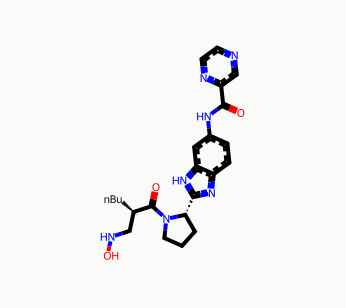 CCCC[C@H](CNO)C(=O)N1CCC[C@H]1c1nc2ccc(NC(=O)c3cnccn3)cc2[nH]1